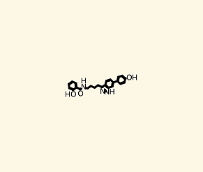 O=C(NCCCCc1n[nH]c2cc(-c3ccc(O)cc3)ccc12)c1ccccc1O